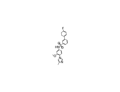 COc1cc(NS(=O)(=O)c2cccc(C3=CC=C(F)CC3)c2)ccc1-n1cnc(C)c1